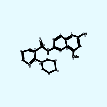 COc1cc(O)nc2ccc(NC(=O)c3cccnc3N3CCOCC3)cc12